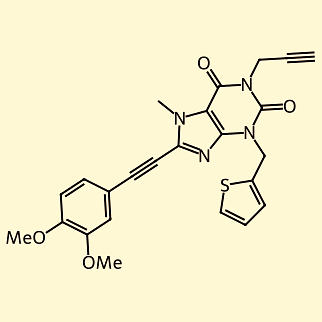 C#CCn1c(=O)c2c(nc(C#Cc3ccc(OC)c(OC)c3)n2C)n(Cc2cccs2)c1=O